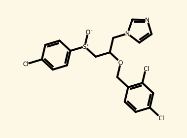 [O-][S+](CC(Cn1ccnc1)OCc1ccc(Cl)cc1Cl)c1ccc(Cl)cc1